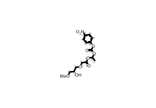 COC[C@@H](O)COCC(=O)OC(C)OC(=O)Oc1ccc([N+](=O)[O-])cc1